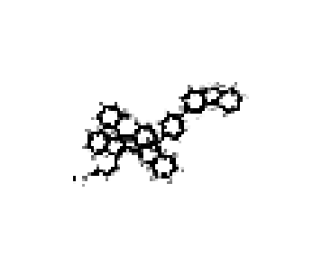 C=C/C=C\C1=C(c2nc(-c3ccc(-c4ccc5sc6ccccc6c5c4)cc3)c3ccccc3n2)C2(c3ccccc3Sc3ccccc32)c2ccccc21